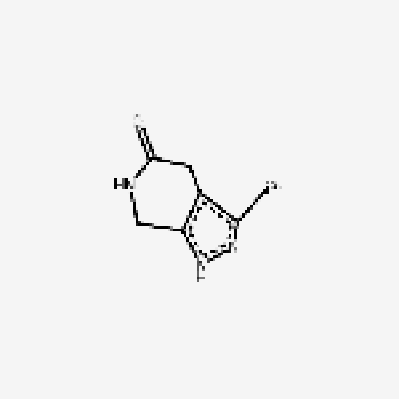 CC(C)c1n[nH]c2c1CC(=O)NC2